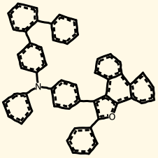 c1ccc(-c2ccccc2-c2ccc(N(c3ccccc3)c3ccc(-c4c(-c5ccccc5)oc5c6ccccc6c6ccccc6c45)cc3)cc2)cc1